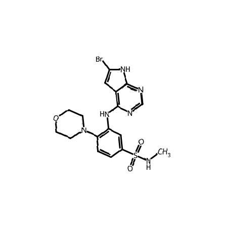 CNS(=O)(=O)c1ccc(N2CCOCC2)c(Nc2ncnc3[nH]c(Br)cc23)c1